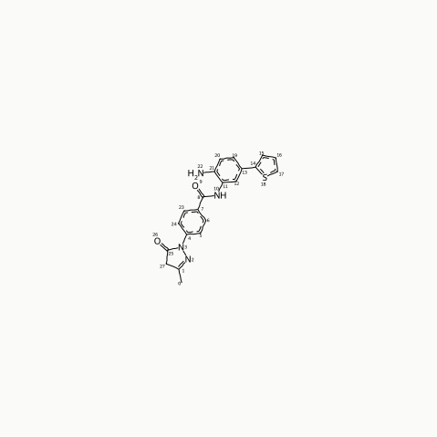 CC1=NN(c2ccc(C(=O)Nc3cc(-c4cccs4)ccc3N)cc2)C(=O)C1